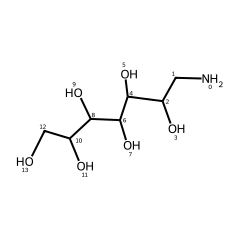 NCC(O)C(O)C(O)C(O)C(O)CO